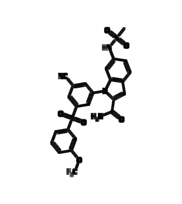 CS(=O)(=O)Nc1ccc2cc(C(N)=O)n(-c3cc(C#N)cc(S(=O)(=O)c4cccc(OC(F)(F)F)c4)c3)c2c1